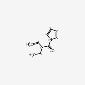 C=CC(CC)C(=O)n1cccc1